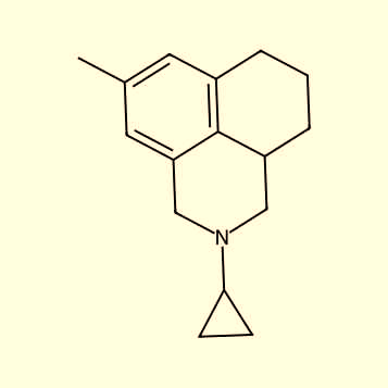 Cc1cc2c3c(c1)CN(C1CC1)CC3CCC2